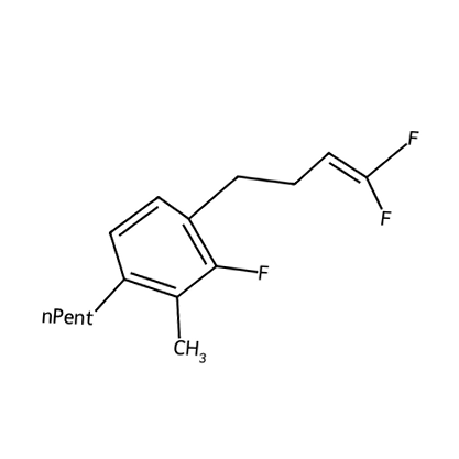 CCCCCc1ccc(CCC=C(F)F)c(F)c1C